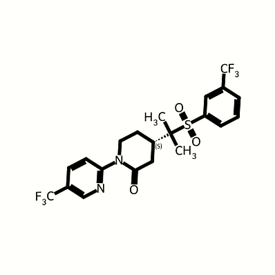 CC(C)([C@H]1CCN(c2ccc(C(F)(F)F)cn2)C(=O)C1)S(=O)(=O)c1cccc(C(F)(F)F)c1